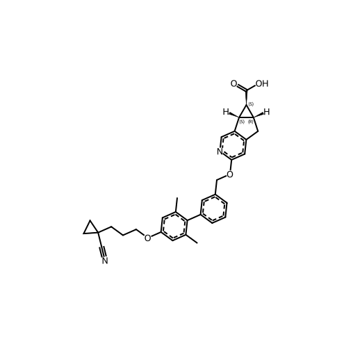 Cc1cc(OCCCC2(C#N)CC2)cc(C)c1-c1cccc(COc2cc3c(cn2)[C@H]2[C@@H](C3)[C@@H]2C(=O)O)c1